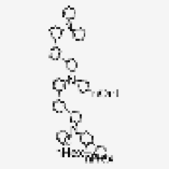 CCCCCCCCc1ccc(N(c2cccc(-c3cccc(-c4cccc(N(c5ccccc5)c5ccccc5)c4)c3)c2)c2cccc(-c3cccc(-c4cccc(N(c5ccccc5)c5ccc6c(c5)C(CCCCCC)(CCCCCC)c5ccccc5-6)c4)c3)c2)cc1